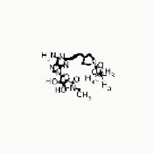 CCNC(=O)[C@H]1O[C@@H](n2cnc3c(N)nc(C#CCC4CCN(C(=O)OC(C)(C)C)CC4)nc32)[C@@H](O)C1O